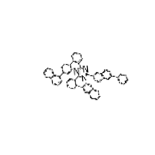 c1ccc(-c2ccc3cc(-c4nc(-c5ccccc5-c5ccc(-c6cccc7ccccc67)cc5)nc(-c5ccccc5-c5ccc6ccccc6c5)n4)ccc3c2)cc1